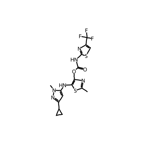 Cc1nc(OC(=O)Nc2nc(C(F)(F)F)cs2)c(Nc2cc(C3CC3)nn2C)s1